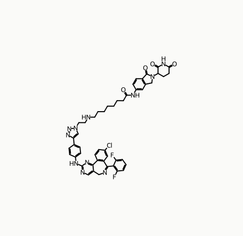 O=C1CCC(N2Cc3cc(NC(=O)CCCCCCCNCCn4cc(-c5ccc(Nc6ncc7c(n6)-c6ccc(Cl)cc6C(c6c(F)cccc6F)=NC7)cc5)nn4)ccc3C2=O)C(=O)N1